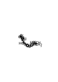 CC(C)(C)OC(=O)N1CCC(Oc2ccc(OCC(O)CCn3cc([N+](=O)[O-])nc3Cl)cc2)CC1